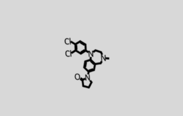 CN1CCN(c2ccc(Cl)c(Cl)c2)c2ccc(N3CCCC3=O)cc2C1